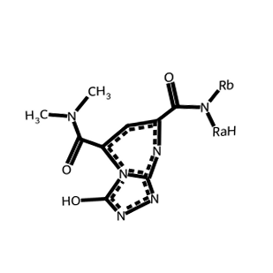 CN(C)C(=O)c1cc(C(=O)[N]([Rb])[RaH])nc2nnc(O)n12